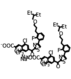 CCC(CC)COCCCc1cccc(-c2csc(C(=O)c3cc(Cl)c(C=C(C)C(=O)[O-])c(Cl)c3)n2)c1F.CCC(CC)COCCCc1cccc(-c2csc(C(=O)c3cc(Cl)c(C=C(C)C(=O)[O-])c(Cl)c3)n2)c1F.[Na+].[Na+]